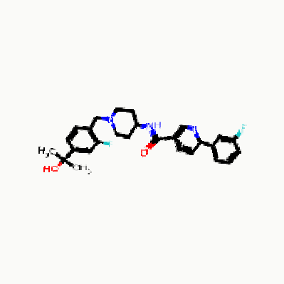 CC(C)(O)c1ccc(CN2CCC(NC(=O)c3ccc(-c4cccc(F)c4)nc3)CC2)c(F)c1